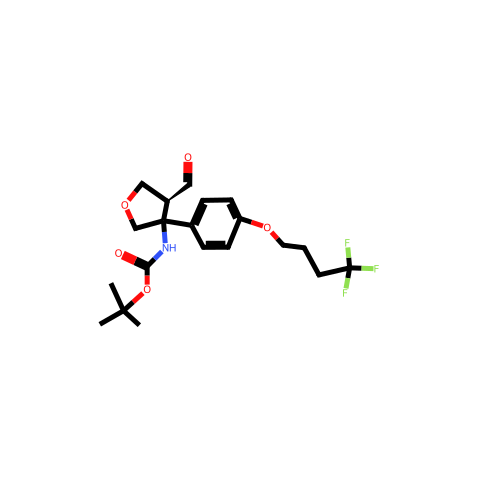 CC(C)(C)OC(=O)NC1(c2ccc(OCCCC(F)(F)F)cc2)COC[C@H]1C=O